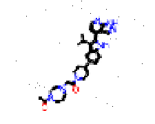 CC(=O)N1CCCN(CC(=O)N2CCC(c3ccc4[nH]c(-c5ccnc6[nH]ncc56)c(C(C)C)c4c3)CC2)CC1